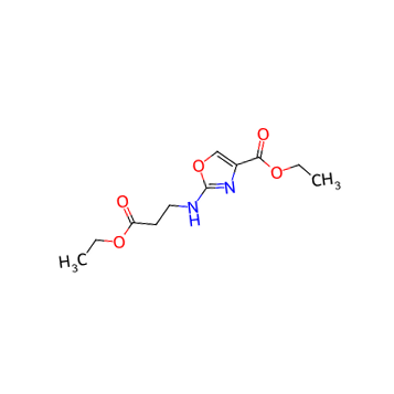 CCOC(=O)CCNc1nc(C(=O)OCC)co1